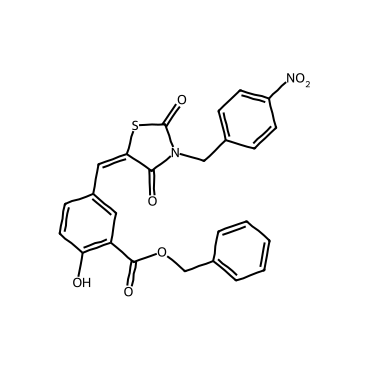 O=C(OCc1ccccc1)c1cc(C=C2SC(=O)N(Cc3ccc([N+](=O)[O-])cc3)C2=O)ccc1O